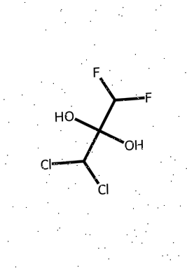 OC(O)(C(F)F)C(Cl)Cl